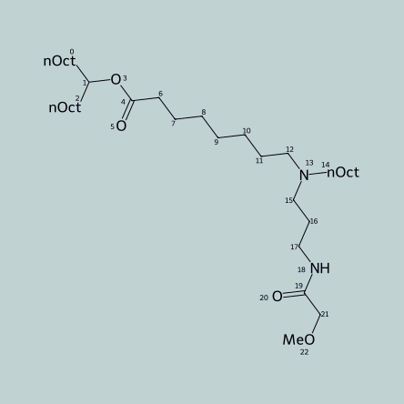 CCCCCCCCC(CCCCCCCC)OC(=O)CCCCCCCN(CCCCCCCC)CCCNC(=O)COC